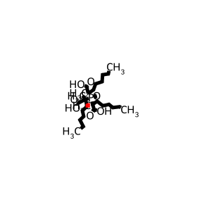 CCCCCCC(C)(C(=O)O)P(=O)(C(C)(CCCCCC)C(=O)O)C(C)(CCCCCC)C(=O)O